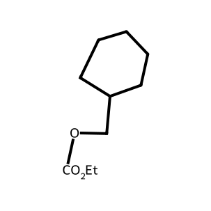 CCOC(=O)OCC1CCCCC1